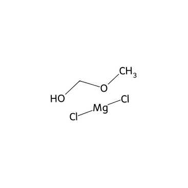 COCO.[Cl][Mg][Cl]